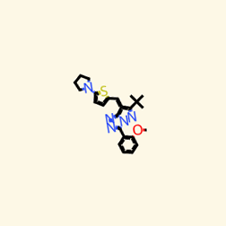 COc1ccccc1-c1nnc2/c(=C\c3ccc(N4CCCC4)s3)c(C(C)(C)C)nn12